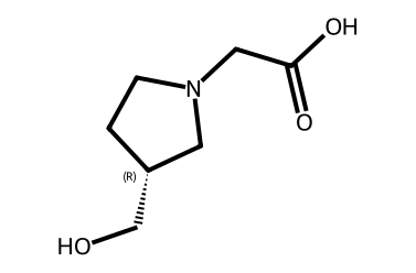 O=C(O)CN1CC[C@@H](CO)C1